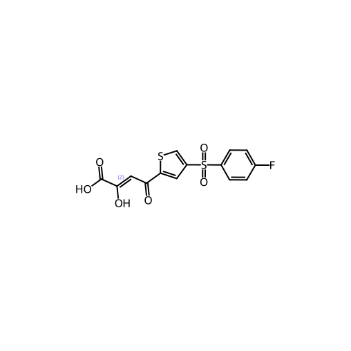 O=C(O)/C(O)=C/C(=O)c1cc(S(=O)(=O)c2ccc(F)cc2)cs1